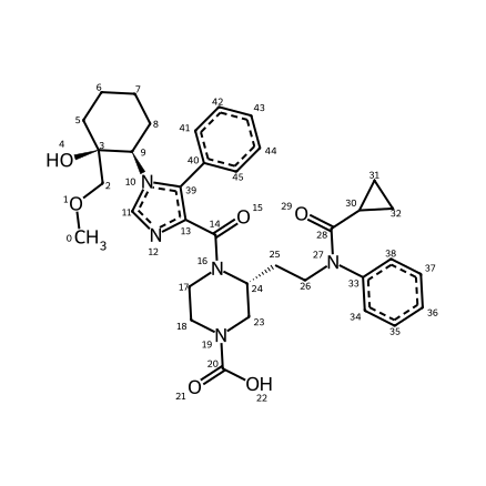 COC[C@]1(O)CCCC[C@H]1n1cnc(C(=O)N2CCN(C(=O)O)C[C@H]2CCN(C(=O)C2CC2)c2ccccc2)c1-c1ccccc1